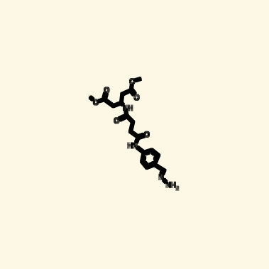 COC(=O)CC(CC(=O)OC)NC(=O)CCC(=O)Nc1ccc(C=NN)cc1